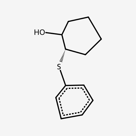 OC1CCCC[C@@H]1Sc1ccccc1